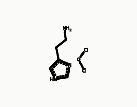 ClOCl.NCCc1c[nH]cn1